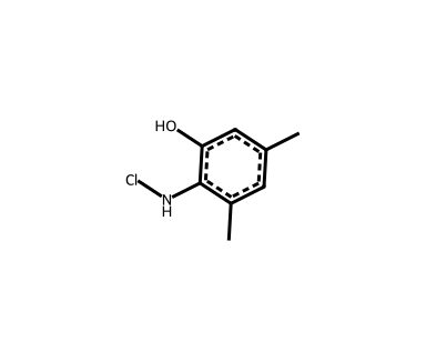 Cc1cc(C)c(NCl)c(O)c1